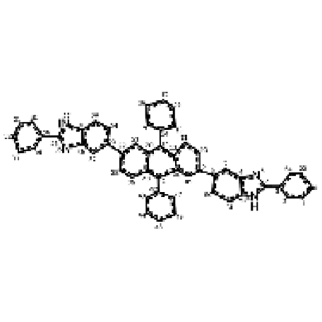 c1ccc(-c2nc3cc(-c4ccc5c(-c6ccccc6)c6cc(-c7ccc8[nH]c(-c9ccccc9)nc8c7)ccc6c(-c6ccccc6)c5c4)ccc3[nH]2)cc1